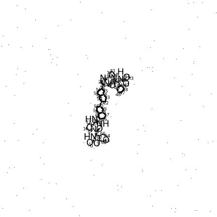 COC(=O)N[C@H](C(=O)N1CCC[C@H]1C1Nc2ccc3cc(-c4ccc5cc(-c6cnc([C@@H]7CCCN7C(=O)[C@H](NC(=O)OC)c7ccccc7)[nH]6)ccc5c4)ccc3c2N1)C1CCOCC1